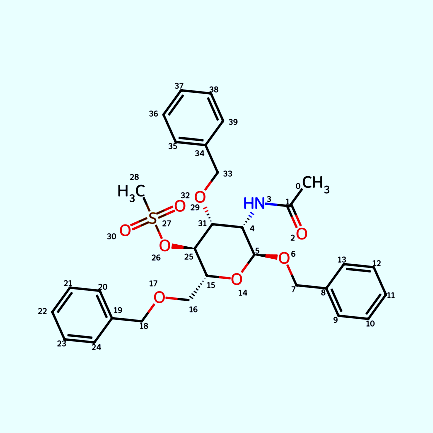 CC(=O)N[C@@H]1[C@@H](OCc2ccccc2)O[C@H](COCc2ccccc2)[C@@H](OS(C)(=O)=O)[C@@H]1OCc1ccccc1